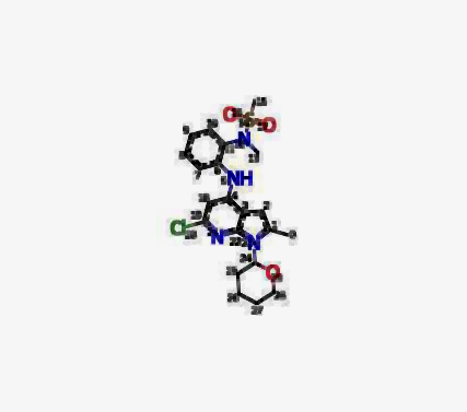 Cc1cc2c(Nc3ccccc3N(C)S(C)(=O)=O)cc(Cl)nc2n1C1CCCCO1